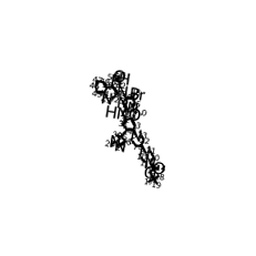 COc1cc(N2CCC(N3CCN(C(=O)OC(C)(C)C)CC3)CC2)c(-c2cnn(C)c2)cc1Nc1ncc(Br)c(Nc2cnc3ccccc3c2P(C)(C)=O)n1